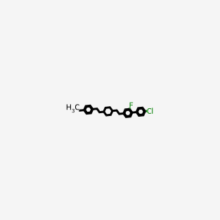 CCc1ccc(CCC2CCC(CCc3ccc(-c4ccc(Cl)cc4)c(F)c3)CC2)cc1